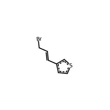 BrC/C=C/c1ccsc1